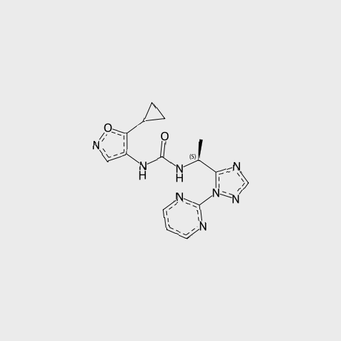 C[C@H](NC(=O)Nc1cnoc1C1CC1)c1ncnn1-c1ncccn1